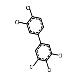 Clc1ccc(-c2cc(Cl)c(Cl)c(Cl)c2)cc1Cl